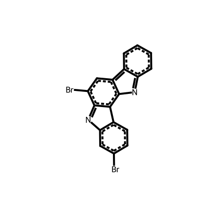 Brc1ccc2c(c1)N=c1c(Br)cc3c(c1-2)N=c1ccccc1=3